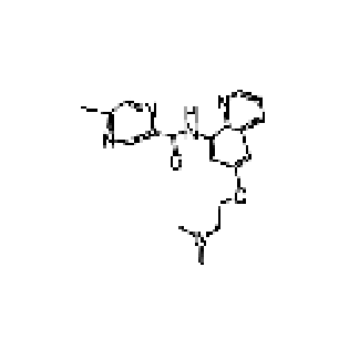 Cc1cnc(C(=O)Nc2cc(OCCN(C)C)cc3cccnc23)cn1